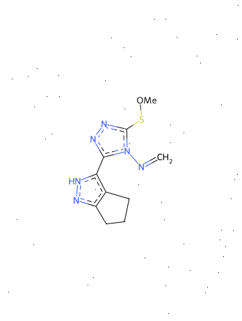 C=Nn1c(SOC)nnc1-c1[nH]nc2c1CCC2